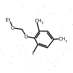 CCOCOc1c(C)cc(C)cc1I